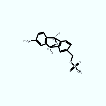 CS(=O)(=O)OCc1ccc2c(c1)[C@@H]1O[C@H]2c2ccc(C(=O)O)cc21